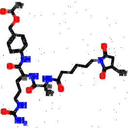 CC(C)C(=O)OCc1ccc(NC(=O)[C@H](CCCNC(N)=O)NC(=O)[C@@H](NC(=O)CCCCCN2C(=O)CC(C(C)C)C2=O)C(C)C)cc1